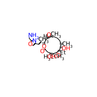 CC[C@H]1C(=O)C(C)(C)[C@@H](O)CC(=O)O[C@H](C(C)=Cc2coc(CN)n2)C[C@@H]2O[C@]2(C)CCC[C@H](C)[C@@H]1O